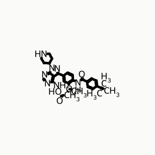 CC(=O)O.COc1cc(-c2nn(C3CCNCC3)c3ncnc(N)c23)ccc1NC(=O)c1ccc(C(C)(C)C)cc1